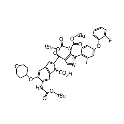 Cc1cc(Oc2ccccc2F)ccc1-n1ncc(C(=O)c2cc3cc(OC4CCOCC4)c(NC(=O)OC(C)(C)C)cc3n2C(=O)O)c1N(C(=O)OC(C)(C)C)C(=O)OC(C)(C)C